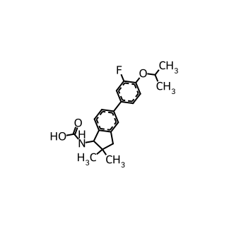 CC(C)Oc1ccc(-c2ccc3c(c2)CC(C)(C)C3NC(=O)O)cc1F